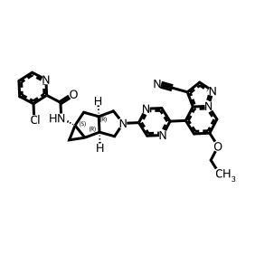 CCOc1cc(-c2cnc(N3C[C@@H]4C[C@]5(NC(=O)c6ncccc6Cl)CC5[C@@H]4C3)cn2)c2c(C#N)cnn2c1